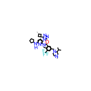 CC(C)C1CN(C)CCN1Cc1cc2c(c(C(F)(F)F)c1)CN(c1cc([C@]3(c4nncn4C)C[C@H](C)C3)cc(NC3CCCC3)n1)C2=O